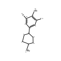 CCCCC1CCC(c2cc(F)c(CCC)c(F)c2)CC1